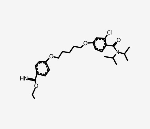 CCOC(=N)c1ccc(OCCCCCOc2ccc(C(=O)N(C(C)C)C(C)C)c(Cl)c2)cc1